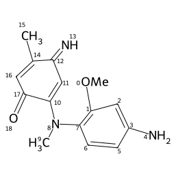 COc1cc(N)ccc1N(C)C1=CC(=N)C(C)=CC1=O